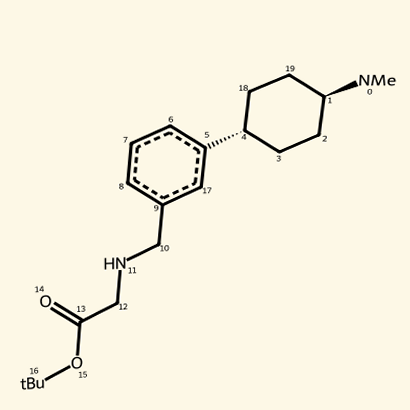 CN[C@H]1CC[C@H](c2cccc(CNCC(=O)OC(C)(C)C)c2)CC1